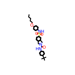 CCCCCOc1ccc(NS(=O)(=O)c2ccc3c(c2)CN(C(=O)Nc2ccc(C(C)(C)C)cc2)C3)cc1